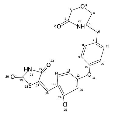 O=C1COCC(Cc2ccc(Oc3ccc(C=C4SC(=O)NC4=O)c(Cl)c3)cc2)N1